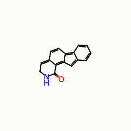 O=C1NCC=c2ccc3c(c21)C=c1ccccc1=3